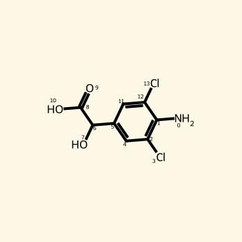 Nc1c(Cl)cc(C(O)C(=O)O)cc1Cl